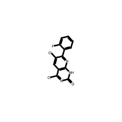 O=c1nc(Cl)c2cc(Cl)c(-c3ccccc3F)nc2[nH]1